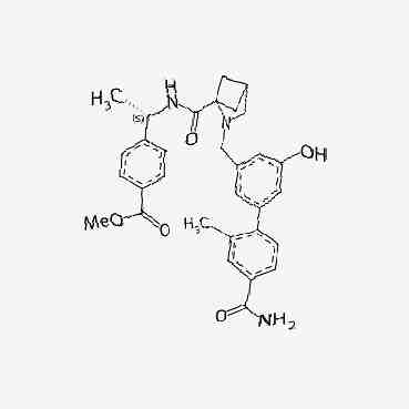 COC(=O)c1ccc([C@H](C)NC(=O)C23CC(CN2Cc2cc(O)cc(-c4ccc(C(N)=O)cc4C)c2)C3)cc1